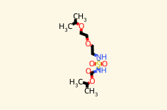 CC(C)OCCOCCNS(=O)(=O)NC(=O)OC(C)C